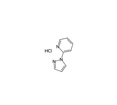 Cl.c1ccc(-n2cccn2)nc1